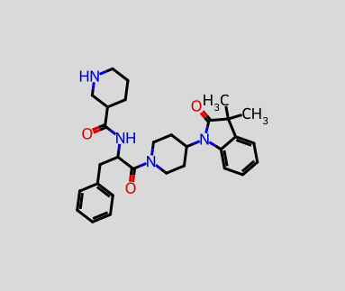 CC1(C)C(=O)N(C2CCN(C(=O)C(Cc3ccccc3)NC(=O)C3CCCNC3)CC2)c2ccccc21